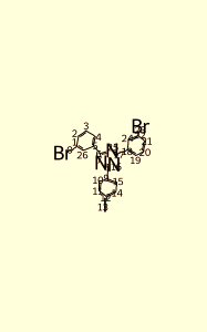 Brc1cccc(-c2nc(-c3ccc(I)cc3)nc(-c3cccc(Br)c3)n2)c1